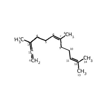 C=C=C(C)CCC=C(C)CCC=C(C)C